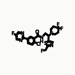 O=C(NCC(c1cnc(CF)s1)N1CCC(F)(F)CC1)c1cc(-c2ncc(F)cn2)ccc1Cl